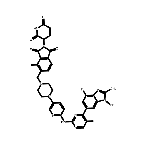 Cc1nc2c(F)cc(-c3nc(Nc4ccc(N5CCN(Cc6ccc7c(c6F)C(=O)N(C6CCC(=O)NC6=O)C7=O)CC5)cn4)ncc3F)cc2n1C(C)C